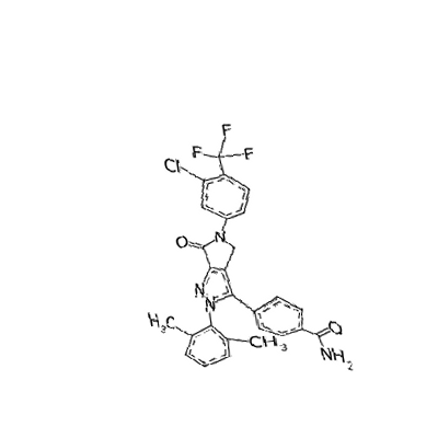 Cc1cccc(C)c1-n1nc2c(c1-c1ccc(C(N)=O)cc1)CN(c1ccc(C(F)(F)F)c(Cl)c1)C2=O